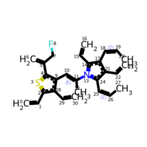 C=Cc1sc(C(=C)CF)c(/C=C(\C)n2c(C=C)c(/C=C\C)c(C=C)c2/C=C\C)c1C=C